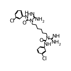 N=C(N)N(CCCCCCN(C(=N)N)C(=O)Nc1cccc(Cl)c1)C(=O)Nc1cccc(Cl)c1